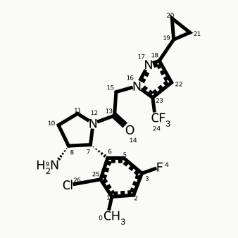 Cc1cc(F)cc([C@@H]2[C@H](N)CCN2C(=O)Cn2nc(C3CC3)cc2C(F)(F)F)c1Cl